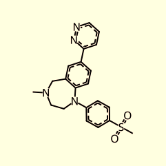 CN1CCN(c2ccc(S(C)(=O)=O)cc2)c2ccc(-c3cccnn3)cc2C1